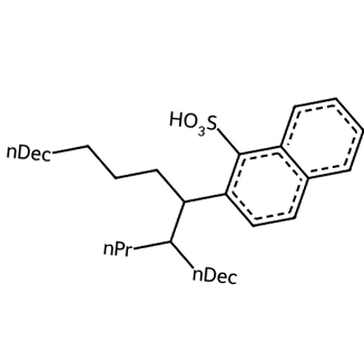 CCCCCCCCCCCCCC(c1ccc2ccccc2c1S(=O)(=O)O)C(CCC)CCCCCCCCCC